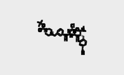 CN(C)C(=O)[C@H](Cc1ccc(C#N)cc1)Nc1nc(Cl)nc(Nc2cccc(CN3CCN(C(=O)OC(C)(C)C)CC3)c2)n1